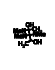 CNC(C)(O)C(NC)(NC)C(C)O